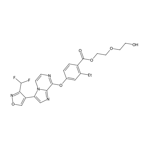 CCc1cc(Oc2nccn3c(-c4conc4C(F)F)cnc23)ccc1C(=O)OCCOCCO